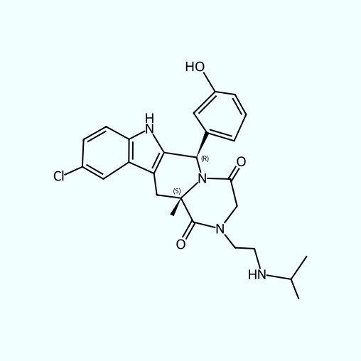 CC(C)NCCN1CC(=O)N2[C@H](c3cccc(O)c3)c3[nH]c4ccc(Cl)cc4c3C[C@@]2(C)C1=O